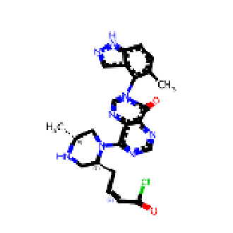 Cc1ccc2[nH]ncc2c1-n1cnc2c(N3C[C@@H](C)NC[C@@H]3C/C=C\C(=O)Cl)ncnc2c1=O